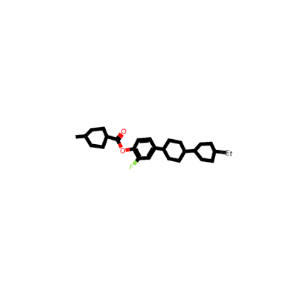 CCC1CCC(C2CCC(c3ccc(OC(=O)C4CCC(C)CC4)c(F)c3)CC2)CC1